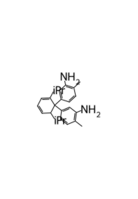 Cc1ccc(C2(c3ccc(C)c(N)c3)C(C(C)C)=CC=CC2C(C)C)cc1N